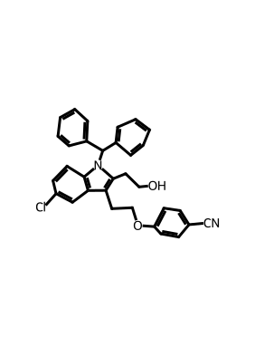 N#Cc1ccc(OCCc2c(CCO)n(C(c3ccccc3)c3ccccc3)c3ccc(Cl)cc23)cc1